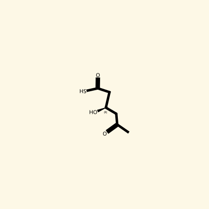 CC(=O)C[C@@H](O)CC(=O)S